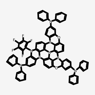 Fc1c(F)c(F)c(N2c3cc(N(c4ccccc4)c4ccccc4)ccc3B3c4ccc5c6c4N4c7c(ccc8c7B(c7ccc(N(c9ccccc9)c9ccccc9)cc7O8)c7ccc2c3c74)B6c2ccc(N(c3ccccc3)c3ccccc3)cc2O5)c(F)c1F